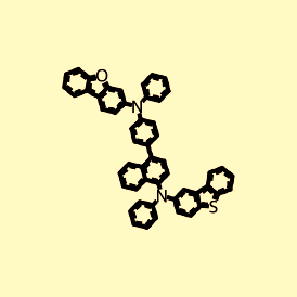 c1ccc(N(c2ccc(-c3ccc(N(c4ccccc4)c4ccc5sc6ccccc6c5c4)c4ccccc34)cc2)c2ccc3c(c2)oc2ccccc23)cc1